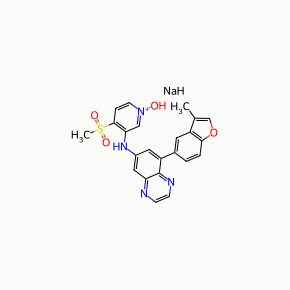 Cc1coc2ccc(-c3cc(Nc4c[n+](O)ccc4S(C)(=O)=O)cc4nccnc34)cc12.[NaH]